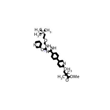 COC(=O)C(C)(C)COc1ccc(-c2ccc(C(=N)/N=C(\NCOCC[Si](C)(C)C)Oc3cccnc3)cc2)cn1